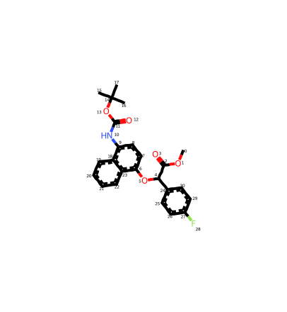 COC(=O)C(Oc1ccc(NC(=O)OC(C)(C)C)c2ccccc12)c1ccc(F)cc1